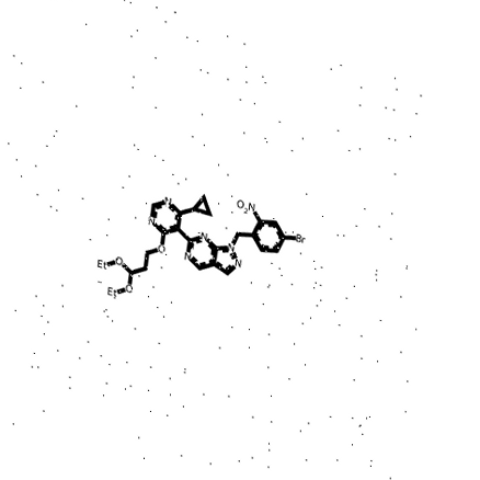 CCOC(CCOc1ncnc(C2CC2)c1-c1ncc2cnn(Cc3ccc(Br)cc3[N+](=O)[O-])c2n1)OCC